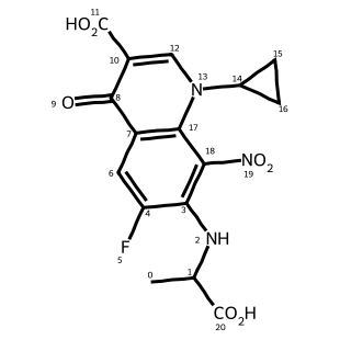 CC(Nc1c(F)cc2c(=O)c(C(=O)O)cn(C3CC3)c2c1[N+](=O)[O-])C(=O)O